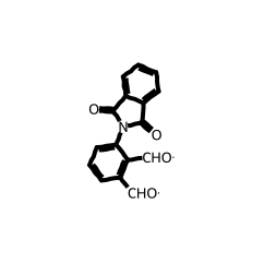 O=[C]c1cccc(N2C(=O)c3ccccc3C2=O)c1[C]=O